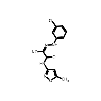 Cc1cc(NC(=O)C(C#N)=NNc2cccc(Cl)c2)no1